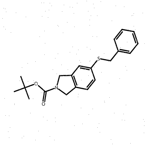 CC(C)(C)OC(=O)N1Cc2ccc(SCc3ccccc3)cc2C1